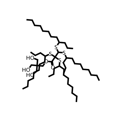 CCCCCCCCC(CCC)SC(SC(CCC)CCCCCCCC)C(SC(CCC)CCCCCCCC)(SC(CCC)CCCCCCCC)C(=O)OCC(CO)(CO)CO